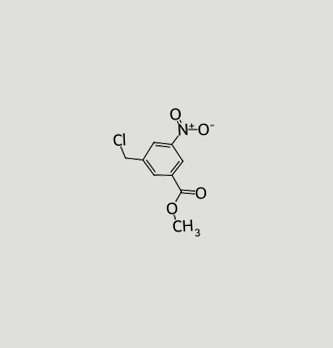 COC(=O)c1cc(CCl)cc([N+](=O)[O-])c1